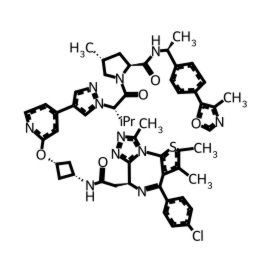 Cc1ncoc1-c1ccc([C@H](C)NC(=O)[C@@H]2C[C@@H](C)CN2C(=O)[C@H](C(C)C)n2cc(-c3ccnc(O[C@H]4C[C@@H](NC(=O)C[C@@H]5N=C(c6ccc(Cl)cc6)c6c(sc(C)c6C)-n6c(C)nnc65)C4)c3)cn2)cc1